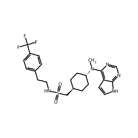 CN(c1ncnc2[nH]ccc12)[C@H]1CC[C@H](CS(=O)(=O)NCCc2ccc(C(F)(F)F)cc2)CC1